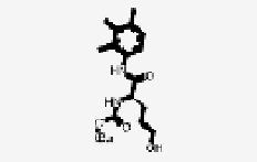 Cc1ccc(NC(=O)[C@@H](CCCO)NC(=O)OC(C)(C)C)c(C)c1C